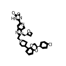 O=c1[nH]c(-c2cc3nc(CN4CCC(c5cccc6c5OC[C@@H](c5ccc(Cl)cc5)O6)CC4)n(C[C@@H]4CCO4)c3cn2)no1